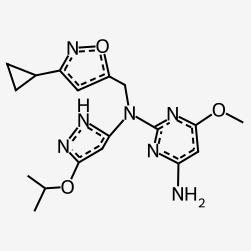 COc1cc(N)nc(N(Cc2cc(C3CC3)no2)c2cc(OC(C)C)n[nH]2)n1